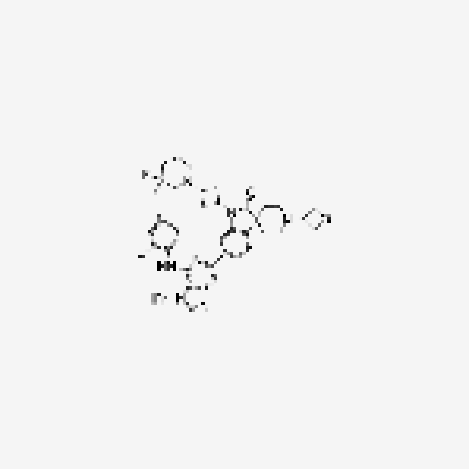 CC(C)n1cnc2cc(-c3ccc4c(c3)N([C@H]3C[C@@H](N5CCCC(C)(F)C5)C3)C(=O)C43CCN(C4COC4)CC3)nc(Nc3ccncc3F)c21